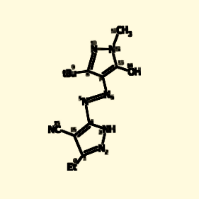 CCc1n[nH]c(/N=N/c2c(C(C)(C)C)nn(C)c2O)c1C#N